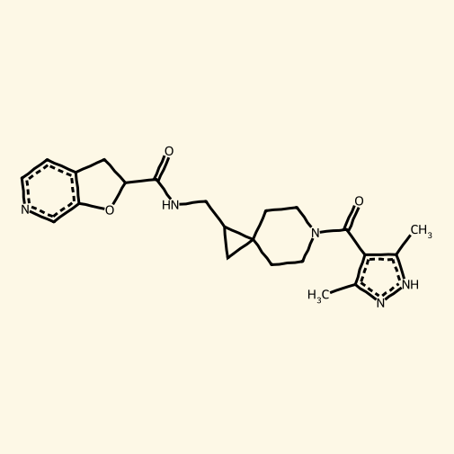 Cc1n[nH]c(C)c1C(=O)N1CCC2(CC1)CC2CNC(=O)C1Cc2ccncc2O1